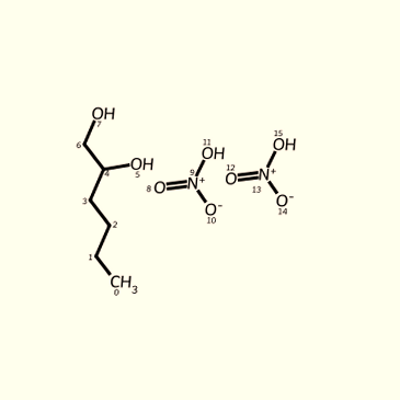 CCCCC(O)CO.O=[N+]([O-])O.O=[N+]([O-])O